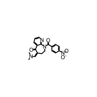 CN(C)C=C1CCN(C(=O)c2ccc([N+](=O)[O-])cc2)c2ncccc2C1=O